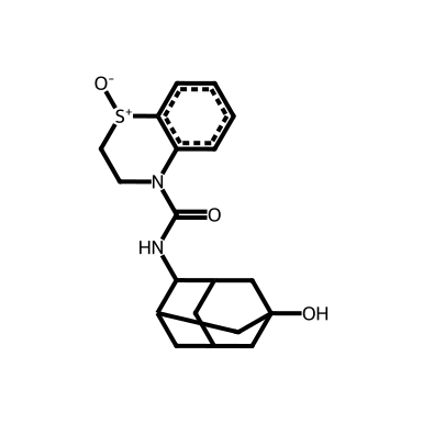 O=C(NC1C2CC3CC1CC(O)(C3)C2)N1CC[S+]([O-])c2ccccc21